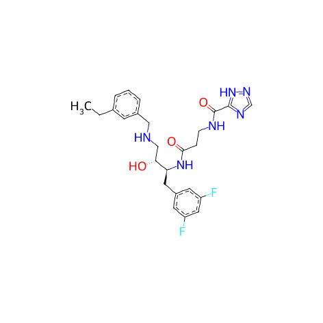 CCc1cccc(CNC[C@@H](O)[C@H](Cc2cc(F)cc(F)c2)NC(=O)CCNC(=O)c2ncn[nH]2)c1